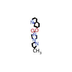 Cc1ccc(N2CCN(C(=O)Oc3ccc4cccnc4c3)CC2)nc1